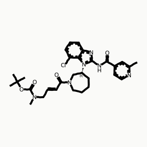 Cc1cc(C(=O)Nc2nc3cccc(Cl)c3n2[C@@H]2CCCCN(C(=O)C=CCN(C)C(=O)OC(C)(C)C)C2)ccn1